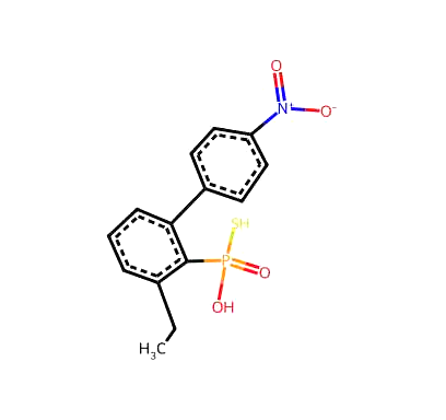 CCc1cccc(-c2ccc([N+](=O)[O-])cc2)c1P(=O)(O)S